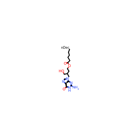 CCCCCCCCCCCCCCCC(=O)OCCC(CO)Cn1cnc2c(=O)[nH]c(N)nc21